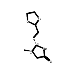 C[C@@H]1CC(=O)N[C@H]1CCC1OCCO1